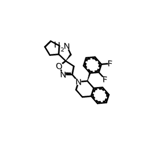 NC[C@@]1(C2CCCC2)CC(N2CCc3ccccc3[C@@H]2c2cccc(F)c2F)=NO1